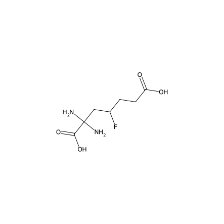 NC(N)(CC(F)CCC(=O)O)C(=O)O